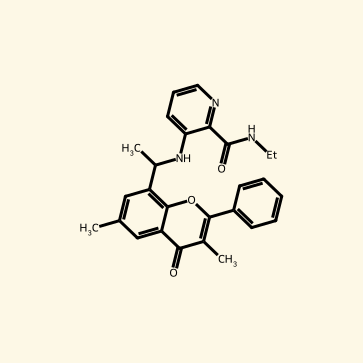 CCNC(=O)c1ncccc1NC(C)c1cc(C)cc2c(=O)c(C)c(-c3ccccc3)oc12